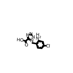 Nc1cc(Cl)ccc1Cn1nnnc1C(=O)O